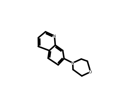 [c]1ccnc2cc(N3CCOCC3)ccc12